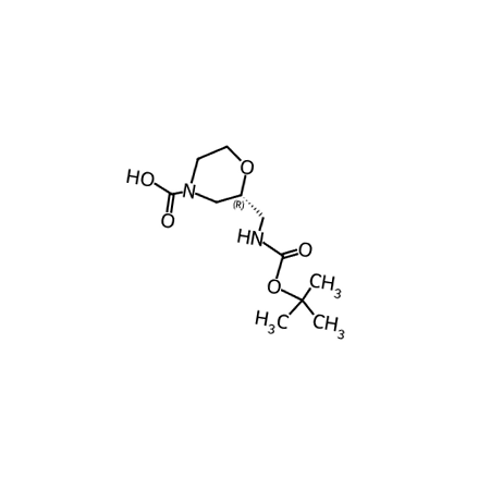 CC(C)(C)OC(=O)NC[C@@H]1CN(C(=O)O)CCO1